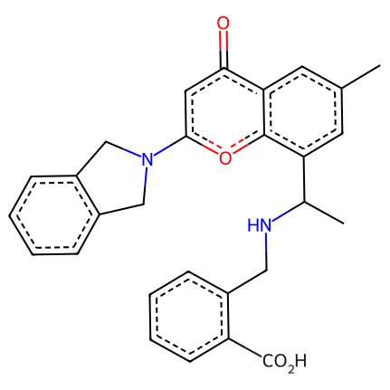 Cc1cc(C(C)NCc2ccccc2C(=O)O)c2oc(N3Cc4ccccc4C3)cc(=O)c2c1